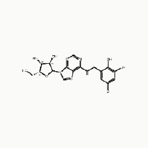 OC[C@H]1OC(n2cnc3c(NCc4cc(Cl)cc(O)c4O)ncnc32)[C@H](O)[C@@H]1O